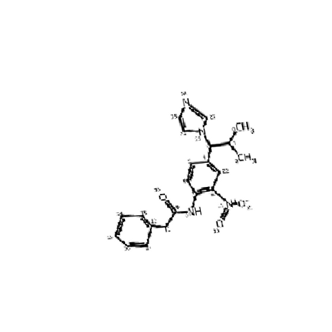 CC(C)C(c1ccc(NC(=O)Cc2ccccc2)c([N+](=O)[O-])c1)n1ccnc1